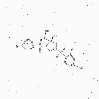 N#Cc1ccc(S(=O)(=O)N2C[C@H](S(=O)(=O)c3ccc(Br)cc3)[C@](O)(CO)C2)c(Cl)c1